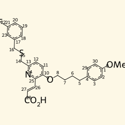 COc1ccc(CCCCOc2ccc(CSCc3cccc(F)c3)nc2C=CC(=O)O)cc1